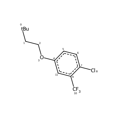 CC(C)(C)CCOc1ccc(Cl)c(C(F)(F)F)c1